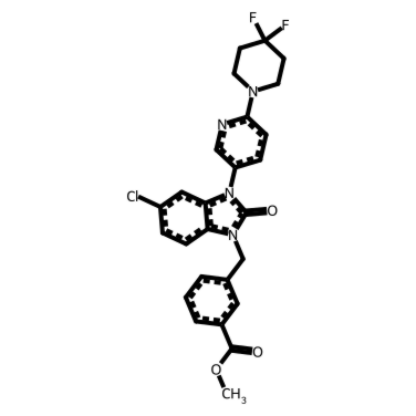 COC(=O)c1cccc(Cn2c(=O)n(-c3ccc(N4CCC(F)(F)CC4)nc3)c3cc(Cl)ccc32)c1